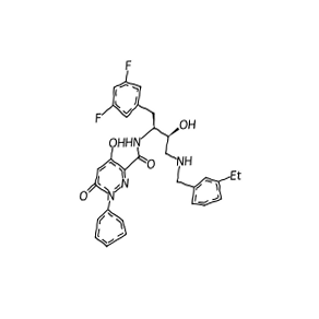 CCc1cccc(CNC[C@H](O)[C@H](Cc2cc(F)cc(F)c2)NC(=O)c2nn(-c3ccccc3)c(=O)cc2O)c1